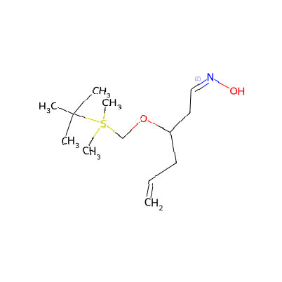 C=CCC(C/C=N\O)OCS(C)(C)C(C)(C)C